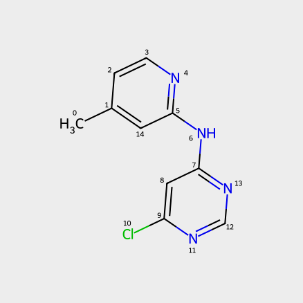 Cc1ccnc(Nc2cc(Cl)ncn2)c1